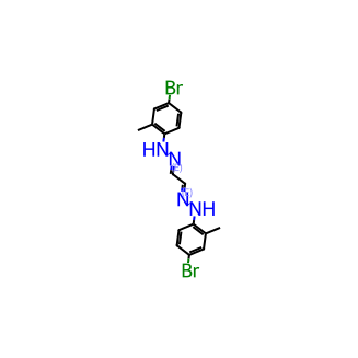 Cc1cc(Br)ccc1N/N=C/C=N/Nc1ccc(Br)cc1C